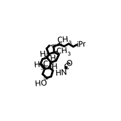 CC(C)CCC[C@@H](C)[C@H]1CC[C@H]2[C@@H]3CC=C4C[C@@H](O)CC[C@]4(C)[C@H]3CC[C@]12C.N=C=O